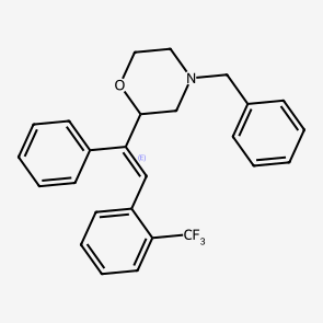 FC(F)(F)c1ccccc1/C=C(\c1ccccc1)C1CN(Cc2ccccc2)CCO1